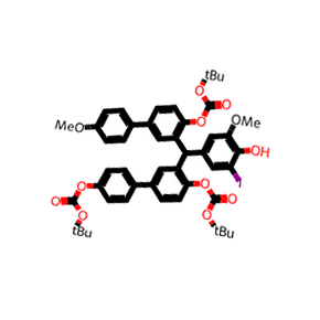 COc1ccc(-c2ccc(OC(=O)OC(C)(C)C)c(C(c3cc(I)c(O)c(OC)c3)c3cc(-c4ccc(OC(=O)OC(C)(C)C)cc4)ccc3OC(=O)OC(C)(C)C)c2)cc1